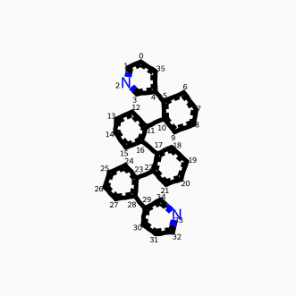 c1cncc(-c2ccccc2-c2ccccc2-c2ccccc2-c2ccccc2-c2cccnc2)c1